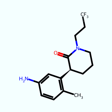 Cc1ccc(N)cc1[C@@H]1CCCN(CCC(F)(F)F)C1=O